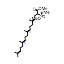 COC(=O)C(C/C=C(\C)CC/C=C(\C)CC/C=C(\C)CCC=C(C)C)P(=O)(OC)OC